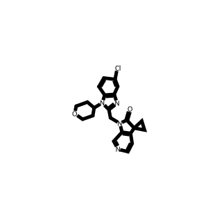 O=C1N(Cc2nc3cc(Cl)ccc3n2C2CCOCC2)c2cnccc2C12CC2